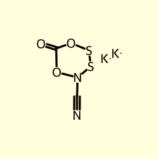 N#Cn1oc(=O)oss1.[K].[K]